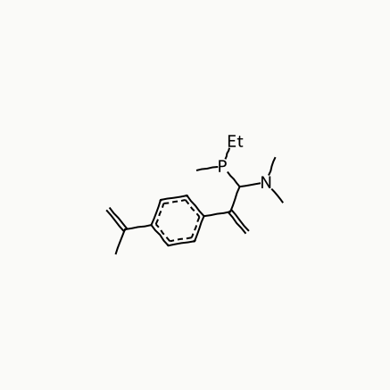 C=C(C)c1ccc(C(=C)C(N(C)C)P(C)CC)cc1